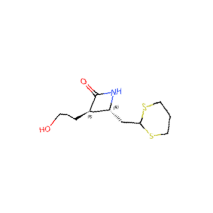 O=C1N[C@H](CC2SCCCS2)[C@H]1CCO